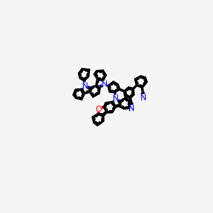 N#Cc1cc(-c2ccccc2C#N)cc(-c2ccc(-n3c4ccccc4c4c3ccc3c5ccccc5n(-c5ccccc5)c34)cc2-n2c3ccccc3c3cc4c(cc32)oc2ccccc24)c1